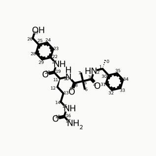 C[C@@H](NC(=O)C(C)(C)C(=O)N[C@@H](CCCNC(N)=O)C(=O)Nc1ccc(CO)cc1)c1ccccc1